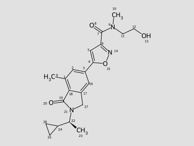 Cc1cc(-c2cc(C(=O)N(C)CCO)no2)cc2c1C(=O)N([C@@H](C)C1CC1)C2